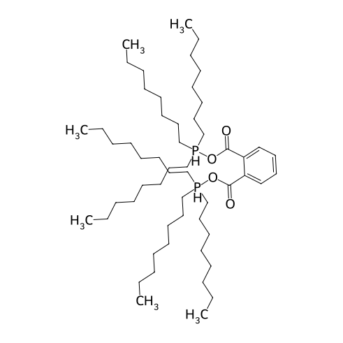 CCCCCCCC[PH](CCCCCCCC)(CCCCCCCC)OC(=O)c1ccccc1C(=O)O[PH](CCCCCCCC)(CCCCCCCC)CCCCCCCC